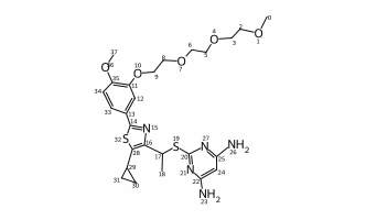 COCCOCCOCCOc1cc(-c2nc(C(C)Sc3nc(N)cc(N)n3)c(C3CC3)s2)ccc1OC